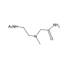 CC(=O)NCCN(C)CC(N)=O